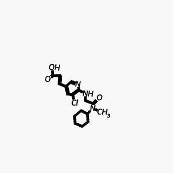 CN(C(=O)CNc1ncc(/C=C/C(=O)O)cc1Cl)C1CCCCC1